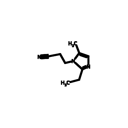 CCc1ncc(C)n1CCC#N